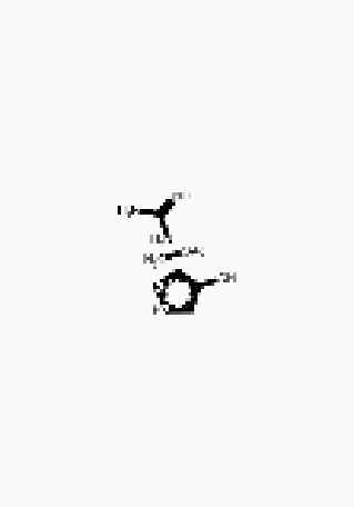 COC(C)=O.N=C(N)N.Oc1cn[nH]c1